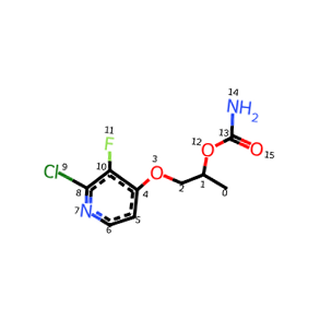 CC(COc1ccnc(Cl)c1F)OC(N)=O